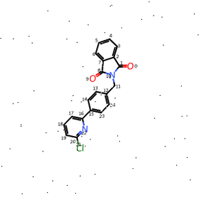 O=C1c2ccccc2C(=O)N1Cc1ccc(-c2cccc(Cl)n2)cc1